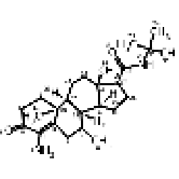 CC1CC2=C(N)C(=O)CC[C@]2(C)[C@H]2CC[C@]3(C)[C@@H](C(=O)NC(C)(C)C)CC[C@H]3[C@H]12